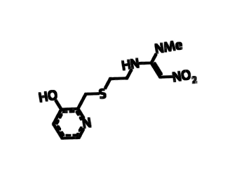 CNC(=C[N+](=O)[O-])NCCSCc1ncccc1O